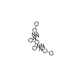 c1ccc(-c2ccc3nc(-n4c5ccccc5c5c6c7ccccc7n(-c7ncc8cc(-c9ccccc9)ccc8n7)c6ccc54)ncc3c2)cc1